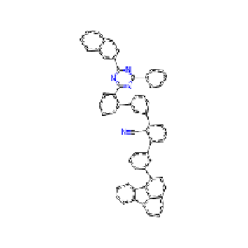 N#Cc1c(-c2cccc(-c3ccccc3-c3nc(-c4ccccc4)nc(-c4ccc5ccccc5c4)n3)c2)cccc1-c1cccc(-c2ccc3cccc4c3c2-c2ccccc2-4)c1